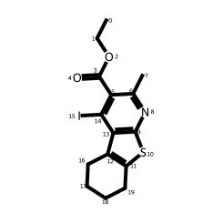 CCOC(=O)c1c(C)nc2sc3c(c2c1I)CCCC3